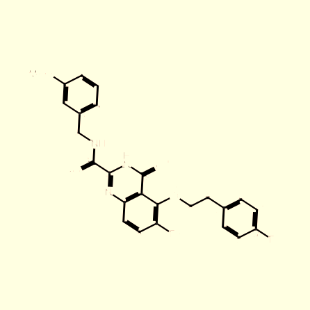 COc1cccc(CNC(=O)c2nc3ccc(F)c(OCCc4ccc(F)cc4)c3c(=O)[nH]2)c1